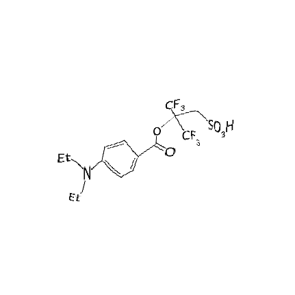 CCN(CC)c1ccc(C(=O)OC(CS(=O)(=O)O)(C(F)(F)F)C(F)(F)F)cc1